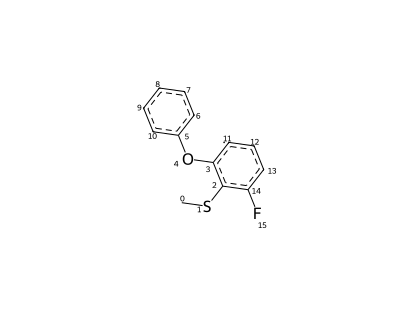 CSc1c(Oc2ccccc2)[c]ccc1F